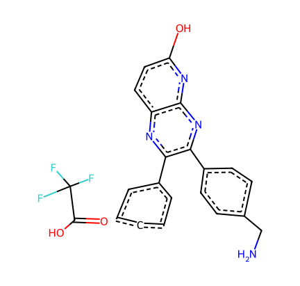 NCc1ccc(-c2nc3nc(O)ccc3nc2-c2ccccc2)cc1.O=C(O)C(F)(F)F